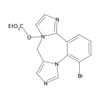 CCOC(=O)O[N+]12C=CN=C1c1cccc(Br)c1-n1cncc1C2